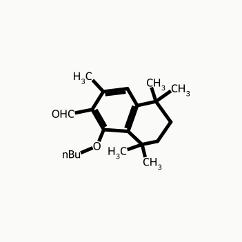 CCCCOc1c(C=O)c(C)cc2c1C(C)(C)CCC2(C)C